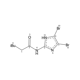 CCC(C)CC(=O)Nc1nc(Br)c(Br)[nH]1